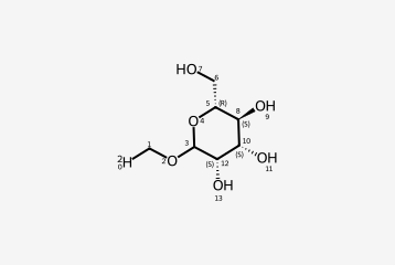 [2H]COC1O[C@H](CO)[C@@H](O)[C@H](O)[C@@H]1O